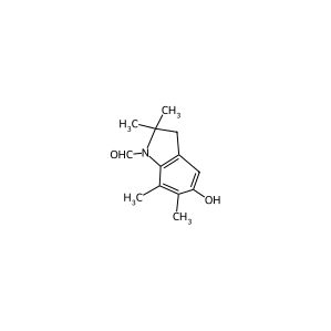 Cc1c(O)cc2c(c1C)N(C=O)C(C)(C)C2